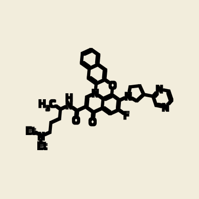 CCN(CC)CCCC(C)NC(=O)c1cn2c3c(c(N4CCC(c5cnccn5)C4)c(F)cc3c1=O)Oc1cc3ccccc3cc1-2